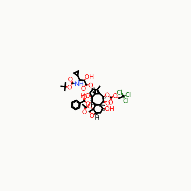 CC(=O)O[C@@]12CO[C@@H]1C[C@H](O)[C@@]1(C)C(=O)[C@H](OC(=O)OCC(Cl)(Cl)Cl)C3=C(C)[C@@H](OC(=O)C(O)C(NC(=O)OC(C)(C)C)C4CC4)C[C@@](O)([C@@H](OC(=O)c4ccccc4)[C@H]21)C3(C)C